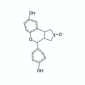 [O-][S+]1CC2c3cc(O)ccc3OC(c3ccc(O)cc3)C2C1